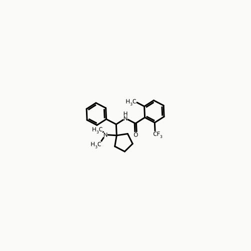 Cc1cccc(C(F)(F)F)c1C(=O)NC(c1ccccc1)C1(N(C)C)CCCC1